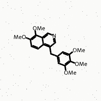 COc1cc(Cc2cncc3c(OC)c(OC)ccc23)cc(OC)c1OC